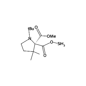 COC(=O)[C@@]1(C(=O)O[SiH3])N(C(C)(C)C)CCC1(C)C